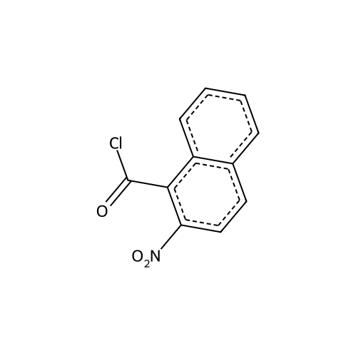 O=C(Cl)c1c([N+](=O)[O-])ccc2ccccc12